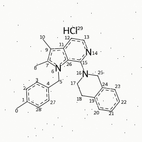 Cc1ccc(Cn2c(C)c(C)c3ccnc(N4CCc5ccccc5C4)c32)cc1.Cl